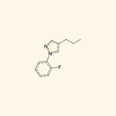 CCCc1cnn(-c2ccccc2F)c1